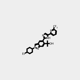 CCC1CCC(n2cc3cc(-c4ncc(-c5cccc(C(F)(F)F)n5)[nH]4)c(C(C)(C)O)cc3n2)CC1